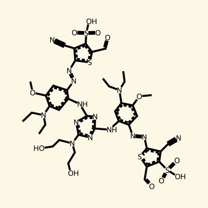 CCN(CC)c1cc(Nc2nc(Nc3cc(N(CC)CC)c(OC)cc3/N=N/c3sc(C=O)c(S(=O)(=O)O)c3C#N)nc(N(CCO)CCO)n2)c(/N=N/c2sc(C=O)c(S(=O)(=O)O)c2C#N)cc1OC